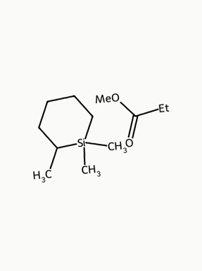 CC1CCCC[Si]1(C)C.CCC(=O)OC